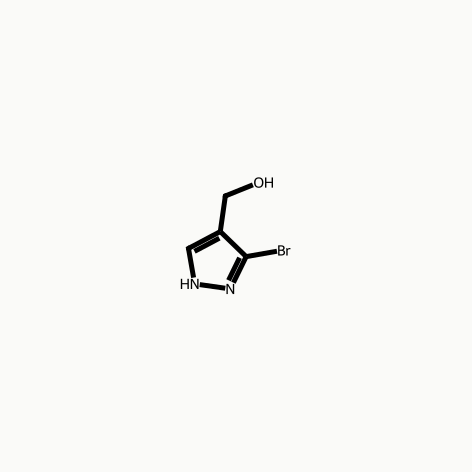 OCc1c[nH]nc1Br